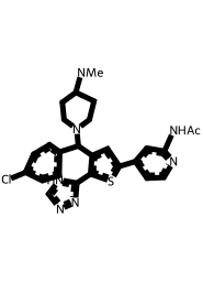 CNC1CCN(C(c2ccc(Cl)cc2)c2cc(-c3ccnc(NC(C)=O)c3)sc2-c2nnc[nH]2)CC1